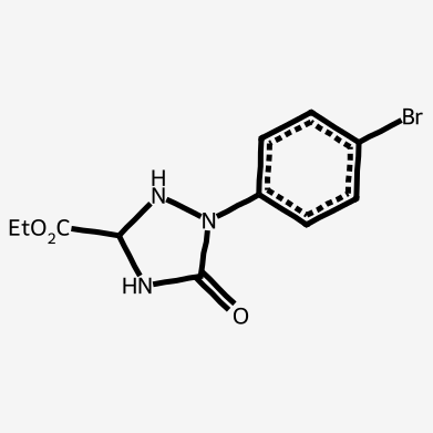 CCOC(=O)C1NC(=O)N(c2ccc(Br)cc2)N1